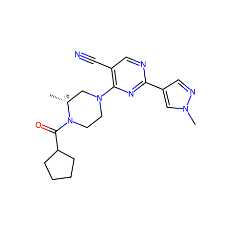 C[C@@H]1CN(c2nc(-c3cnn(C)c3)ncc2C#N)CCN1C(=O)C1CCCC1